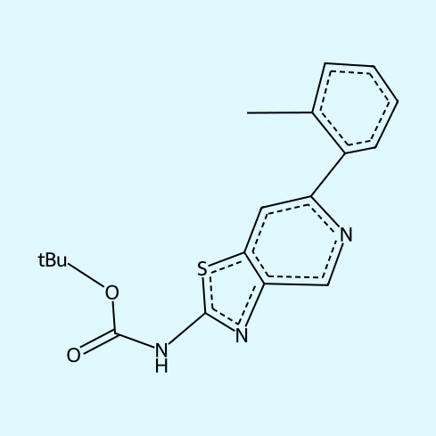 Cc1ccccc1-c1cc2sc(NC(=O)OC(C)(C)C)nc2cn1